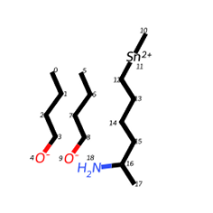 CCCC[O-].CCCC[O-].[CH3][Sn+2][CH2]CCCC(C)N